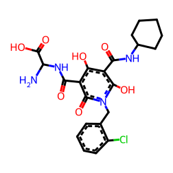 NC(NC(=O)c1c(O)c(C(=O)NC2CCCCC2)c(O)n(Cc2ccccc2Cl)c1=O)C(=O)O